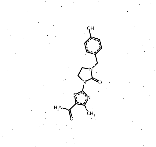 Cc1nc(N2CCN(Cc3ccc(O)cc3)C2=O)sc1C(N)=O